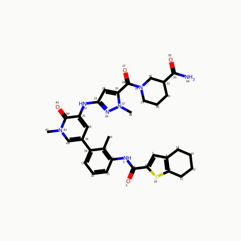 Cc1c(NC(=O)c2cc3c(s2)CCCC3)cccc1-c1cc(Nc2cc(C(=O)N3CCCC(C(N)=O)C3)n(C)n2)c(=O)n(C)c1